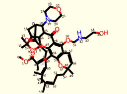 COC(=O)/C(C)=C\CC12OC(C)(C)C3CC(C1=O)C(N1CCOCC1)C1C(=O)c4c(OCNCCO)c5c(c(CC=C(C)C)c4OC132)OC(C)(CCC=C(C)C)C=C5